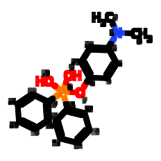 CN(C)c1ccc(OP(O)(O)(c2ccccc2)c2ccccc2)cc1